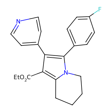 CCOC(=O)c1c(-c2ccncc2)c(-c2ccc(F)cc2)n2c1CCCC2